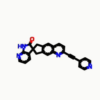 O=C1Nc2ncccc2C12Cc1cc3ccc(C#Cc4ccncc4)nc3cc1C2